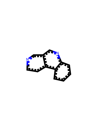 c1ccc2c(c1)ncc1cnccc12